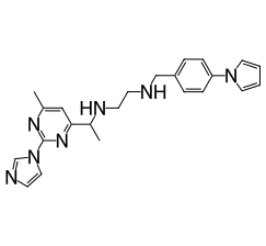 Cc1cc(C(C)NCCNCc2ccc(-n3cccc3)cc2)nc(-n2ccnc2)n1